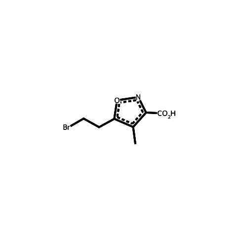 Cc1c(C(=O)O)noc1CCBr